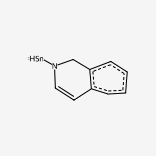 [SnH][N]1C=Cc2ccccc2C1